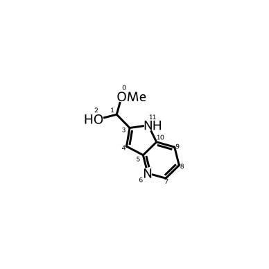 COC(O)c1cc2ncccc2[nH]1